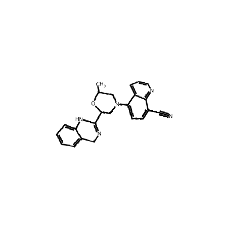 CC1CN(c2ccc(C#N)c3ncccc23)CC(C2=NCc3ccccc3N2)O1